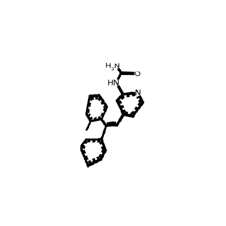 Cc1ccccc1/C(=C\c1ccnc(NC(N)=O)c1)c1ccccc1